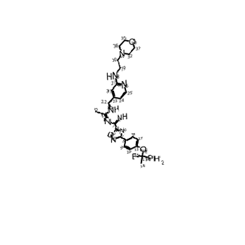 C/C(=N/C(=N)c1nc(-c2ccc(OC(C)(F)P)cc2)no1)NCc1ccnc(NCCN2CCOCC2)c1